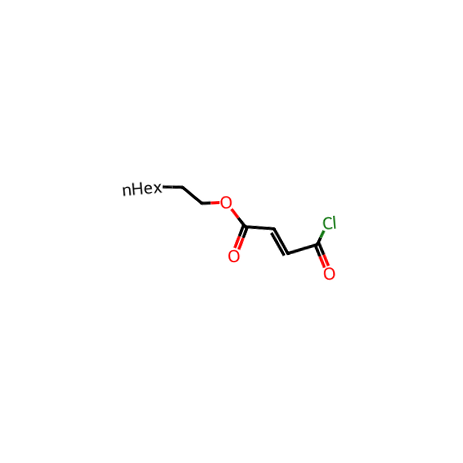 CCCCCCCCOC(=O)C=CC(=O)Cl